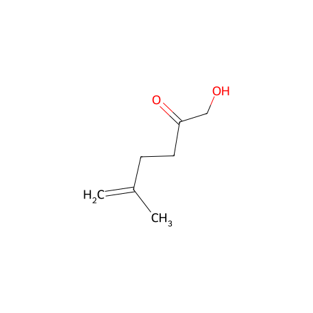 C=C(C)CCC(=O)CO